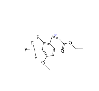 CCOC(=O)/C=C\c1ccc(OC)c(C(F)(F)F)c1F